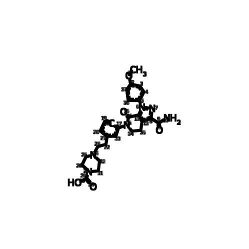 COc1ccc(-n2nc(C(N)=O)c3c2C(=O)N(c2cccc(CCN4CCN(C(=O)O)CC4)c2)CC3)cc1